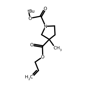 C=CCOC(=O)C1(C)CCN(C(=O)OC(C)(C)C)C1